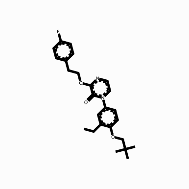 CCc1cc(-n2ccnc(OCCc3ccc(F)cc3)c2=O)ccc1OCC(C)(C)C